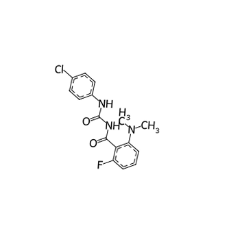 CN(C)c1cccc(F)c1C(=O)NC(=O)Nc1ccc(Cl)cc1